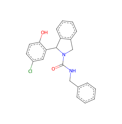 O=C(NCc1ccccc1)N1Cc2ccccc2C1c1cc(Cl)ccc1O